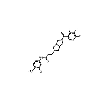 Cc1ccc(NC(=O)CCN2CC3CN(C(=O)c4ccc(F)c(F)c4F)CC3C2)cc1Cl